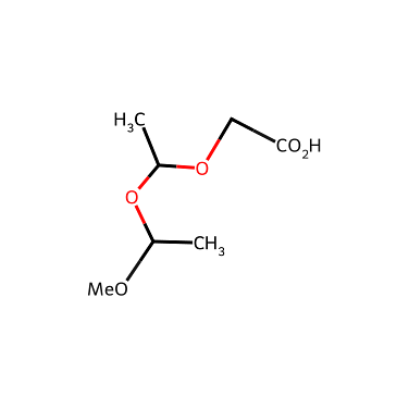 COC(C)OC(C)OCC(=O)O